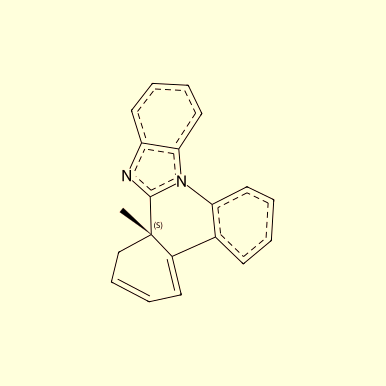 C[C@]12CC=CC=C1c1ccccc1-n1c2nc2ccccc21